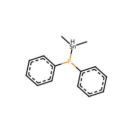 [CH3][SnH]([CH3])[P](c1ccccc1)c1ccccc1